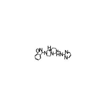 c1cnc(NC[C@@H]2CC[C@@H]3CN(c4noc5ccccc45)CCN3C2)nc1